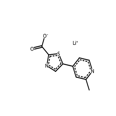 Cc1cc(-c2cnc(C(=O)[O-])s2)ccn1.[Li+]